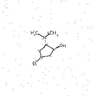 CCN1C[C@H](O)[C@@H](N(C)C)C1